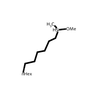 CCCCCCCCCCCC[SiH](C)OC